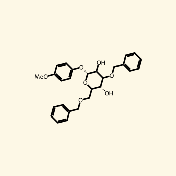 COc1ccc(O[C@H]2OC(COCc3ccccc3)[C@@H](O)C(OCc3ccccc3)C2O)cc1